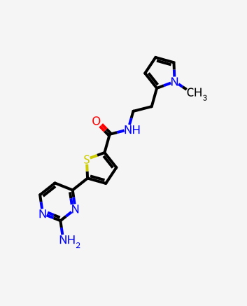 Cn1cccc1CCNC(=O)c1ccc(-c2ccnc(N)n2)s1